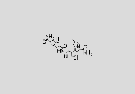 CC1(C)Cc2c(-c3cc(NC(=O)C4CC5CC(C(N)=O)C[C@H]5C4)ncc3Cl)cc(C(N)=O)n2C1